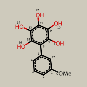 COc1[c]ccc(-c2c(O)c(O)c(O)c(O)c2O)c1